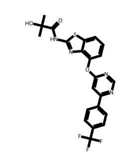 CC(C)(O)C(=O)Nc1nc2c(Oc3cc(-c4ccc(C(F)(F)F)cc4)ncn3)cccc2s1